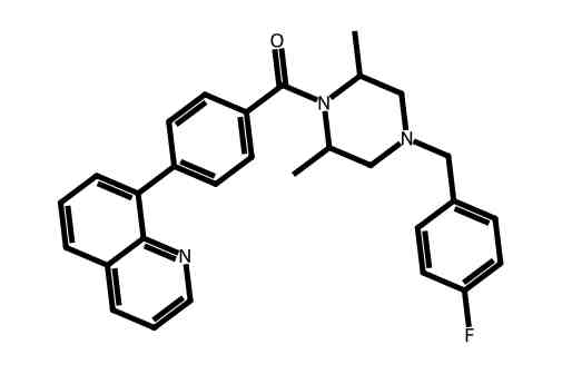 CC1CN(Cc2ccc(F)cc2)CC(C)N1C(=O)c1ccc(-c2cccc3cccnc23)cc1